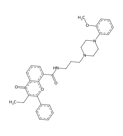 CCc1c(-c2ccccc2)oc2c(C(=O)NCCCN3CCN(c4ccccc4OC)CC3)cccc2c1=O